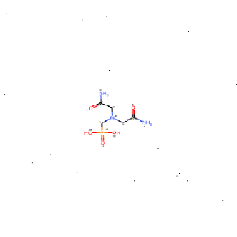 NC(=O)CN(CC(N)=O)CP(=O)(O)O